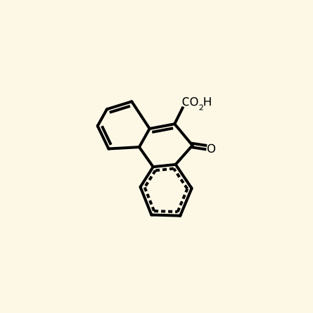 O=C(O)C1=C2C=CC=CC2c2ccccc2C1=O